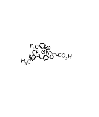 Cn1cc(C=Cc2ccc3c(c2)N(S(=O)(=O)c2cccc(C(F)(F)F)c2)CC(CCC(=O)O)O3)c(C(F)(F)F)n1